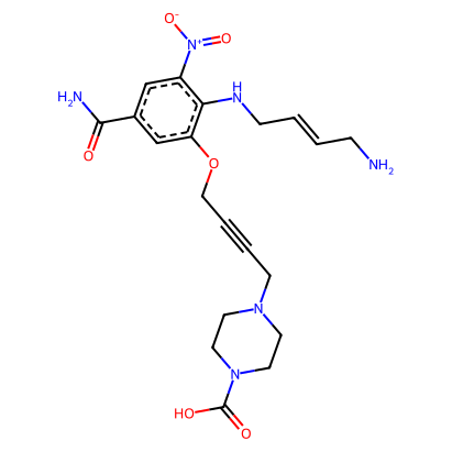 NCC=CCNc1c(OCC#CCN2CCN(C(=O)O)CC2)cc(C(N)=O)cc1[N+](=O)[O-]